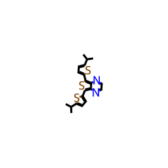 CC(C)c1ccc(-c2sc(-c3ccc(C(C)C)s3)c3nccnc23)s1